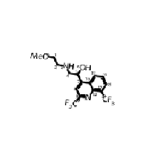 COCCNCC(O)c1cc(C(F)(F)F)nc2c(C(F)(F)F)cccc12